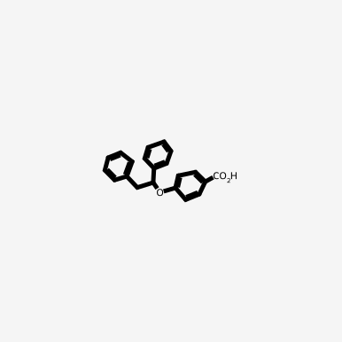 O=C(O)c1ccc(OC(Cc2ccccc2)c2ccccc2)cc1